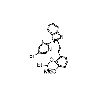 CCC(CC)Oc1c(C=Cc2nc3ccccc3n2-c2ncc(Br)cn2)cccc1OC